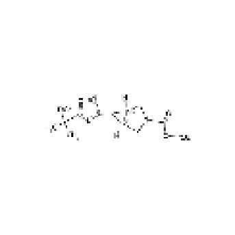 CC(=O)OC(C)(C)c1nc(C2[C@H]3CN(C(=O)OC(C)(C)C)C[C@@H]23)no1